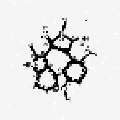 COc1ccc(OC)c(C2=C(c3c(C)[nH]c4ccccc34)C(=O)N(C)C2O)c1